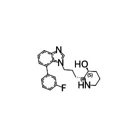 O[C@H]1CCCN[C@@H]1CCCn1cnc2cccc(-c3cccc(F)c3)c21